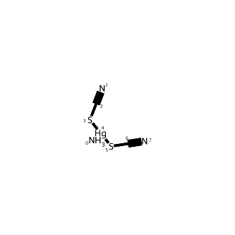 N.N#C[S][Hg][S]C#N